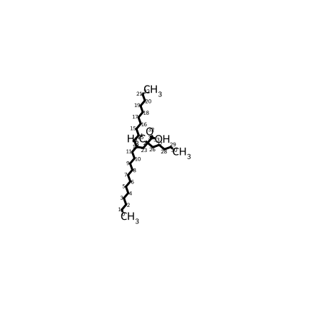 CCCCCCCCCCCCC(CCCCCCCCCC)CC(C)(CCCCC)C(=O)O